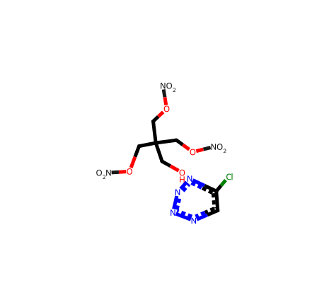 Clc1cnnnn1.O=[N+]([O-])OCC(CO)(CO[N+](=O)[O-])CO[N+](=O)[O-]